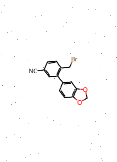 N#Cc1ccc(CBr)c(-c2ccc3c(c2)OCO3)c1